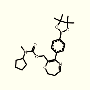 CN(C(=O)OCC1=C(c2ccc(B3OC(C)(C)C(C)(C)O3)cc2)N=CCCO1)C1CCCC1